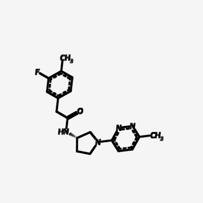 Cc1ccc(N2CC[C@H](NC(=O)Cc3ccc(C)c(F)c3)C2)nn1